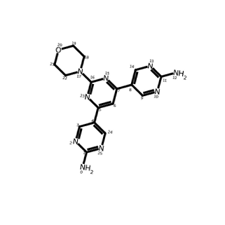 Nc1ncc(-c2cc(-c3cnc(N)nc3)nc(N3CCOCC3)n2)cn1